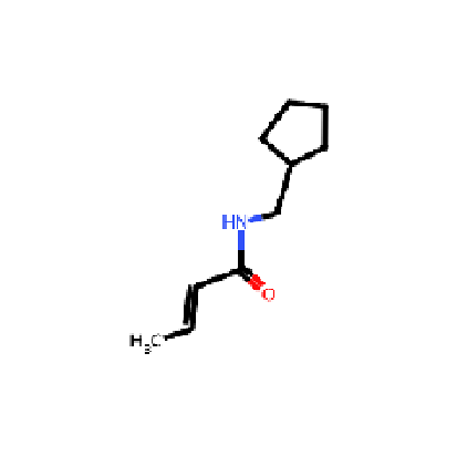 C/C=C/C(=O)NCC1CCCC1